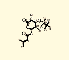 CC(C)=CC(=O)C[C@@H]1OC(=O)[C@H](C)[C@@H](O[Si](C)(C)C(C)(C)C)[C@H]1C